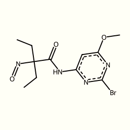 CCC(CC)(N=O)C(=O)Nc1cc(OC)nc(Br)n1